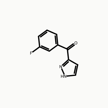 O=C(c1cccc(F)c1)c1cc[nH]n1